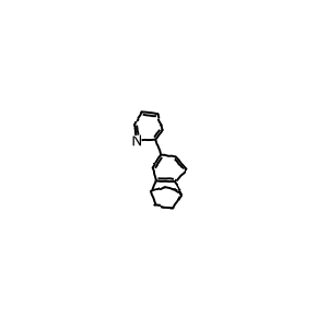 c1ccc(-c2ccc3c(c2)C2CCC3CC2)nc1